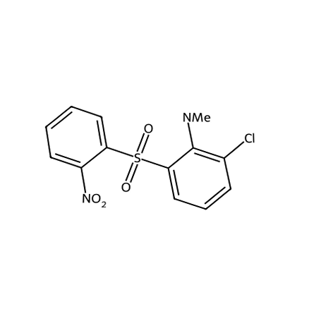 CNc1c(Cl)cccc1S(=O)(=O)c1ccccc1[N+](=O)[O-]